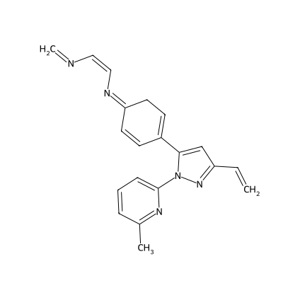 C=Cc1cc(C2=CC/C(=N\C=C/N=C)C=C2)n(-c2cccc(C)n2)n1